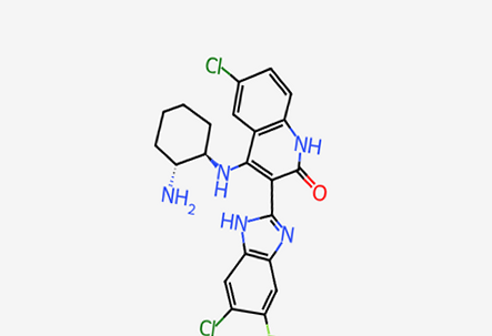 N[C@@H]1CCCC[C@H]1Nc1c(-c2nc3cc(F)c(Cl)cc3[nH]2)c(=O)[nH]c2ccc(Cl)cc12